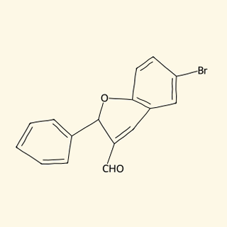 O=CC1=Cc2cc(Br)ccc2OC1c1ccccc1